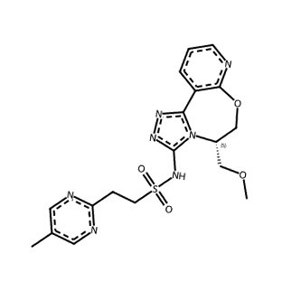 COC[C@H]1COc2ncccc2-c2nnc(NS(=O)(=O)CCc3ncc(C)cn3)n21